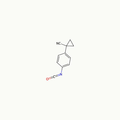 N#CC1(c2ccc(N=C=O)cc2)CC1